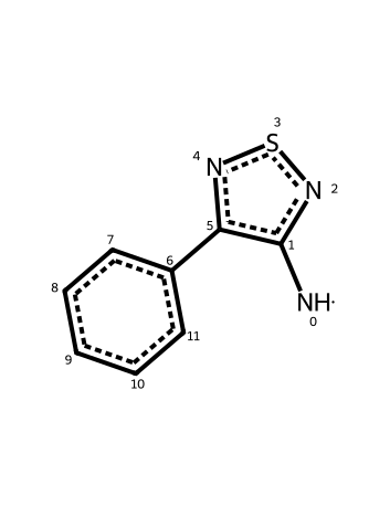 [NH]c1nsnc1-c1ccccc1